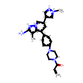 C=CC(=O)N1CCN(c2ccc(-c3cc(-c4cnn(C)c4)cn4nc(N)c(C#N)c34)cc2)CC1